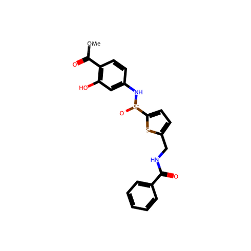 COC(=O)c1ccc(N[S+]([O-])c2ccc(CNC(=O)c3ccccc3)s2)cc1O